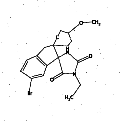 CCN1C(=O)NC2(C1=O)c1cc(Br)ccc1CC21CCC(OC)CC1